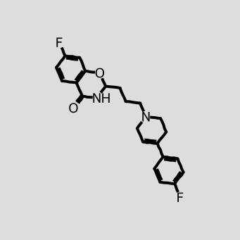 O=C1NC(CCCN2CC=C(c3ccc(F)cc3)CC2)Oc2cc(F)ccc21